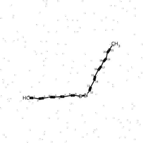 C#CC#CC#CC#CC#C/B=N/C#CC#CC#CC#CC#CC